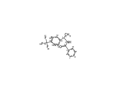 CC(NC(=O)c1ccccc1)c1cnc(C(F)(F)F)nc1